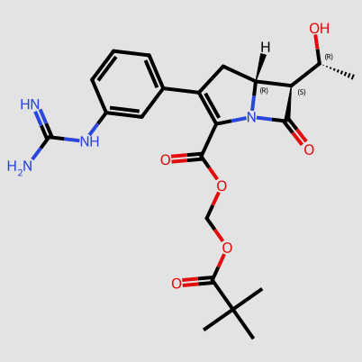 C[C@@H](O)[C@H]1C(=O)N2C(C(=O)OCOC(=O)C(C)(C)C)=C(c3cccc(NC(=N)N)c3)C[C@H]12